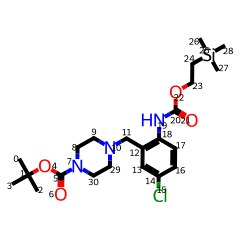 CC(C)(C)OC(=O)N1CCN(Cc2cc(Cl)ccc2NC(=O)OCC[Si](C)(C)C)CC1